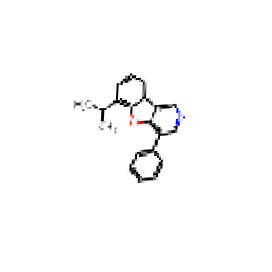 CC(C)c1cccc2c1oc1c(-c3ccccc3)cncc12